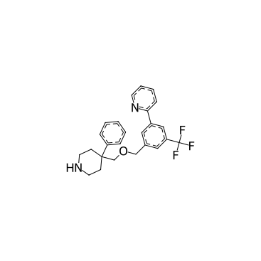 FC(F)(F)c1cc(COCC2(c3ccccc3)CCNCC2)cc(-c2ccccn2)c1